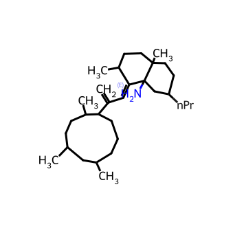 C=C(/C=C1\C(C)CCC2(C)CCC(CCC)CC12N)C1CCCC(C)CC(C)CCC1C